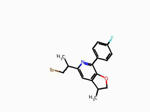 CC(CBr)c1cc2c(c(-c3ccc(F)cc3)n1)OCC2C